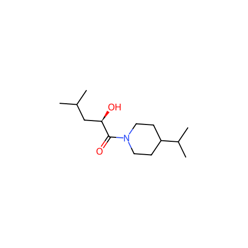 CC(C)C[C@@H](O)C(=O)N1CCC(C(C)C)CC1